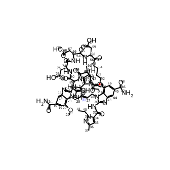 CCn1nc(C)cc1C(=O)Nc1nc2cc(C(N)=O)cc(OC)c2n1C/C=C/Cn1c(NC(=O)c2cc(C)nn2CC)nc2cc(C(N)=O)cc(OCCCNC(=O)[C@H](CC(=O)O)NC(=O)[C@H](CC(=O)O)NC(=O)[C@H](CC(=O)O)NC(=O)[C@H](CC(=O)O)NC(=O)[C@@H](C)CCC(=O)O)c21